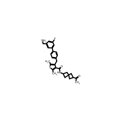 CC(=O)C1CC2(CC(NC(=O)c3c(C)sc(C)c3Cc3ccc(-c4cc(F)cc(CN)c4)cc3)C2)C1